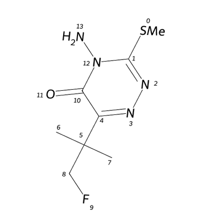 CSc1nnc(C(C)(C)CF)c(=O)n1N